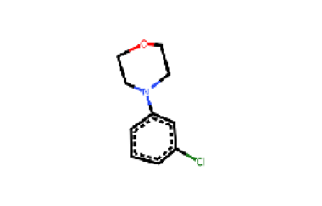 Clc1cccc([N+]2CCOCC2)c1